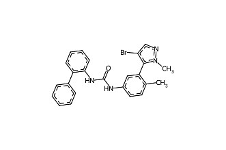 Cc1ccc(NC(=O)Nc2ccccc2-c2ccccc2)cc1-c1c(Br)cnn1C